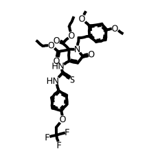 CCOC(=O)C1(C(=O)OCC)C(NC(=S)Nc2ccc(OCC(F)(F)F)cc2)=CC(=O)N1Cc1ccc(OC)cc1OC